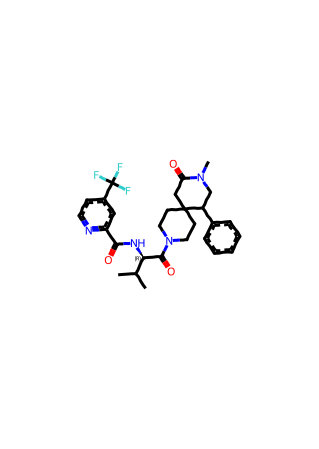 CC(C)[C@@H](NC(=O)c1cc(C(F)(F)F)ccn1)C(=O)N1CCC2(CC1)CC(=O)N(C)CC2c1ccccc1